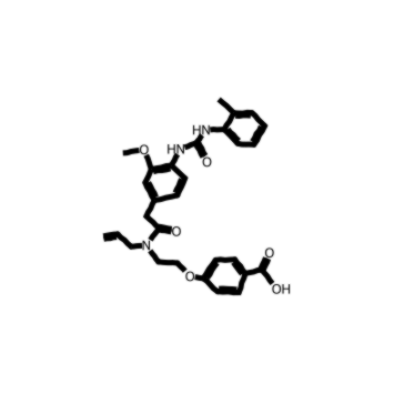 C=CCN(CCOc1ccc(C(=O)O)cc1)C(=O)Cc1ccc(NC(=O)Nc2ccccc2C)c(OC)c1